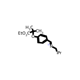 CCOC(=O)C(C)(C)Oc1ccc(/C=N/CC(C)C)cc1